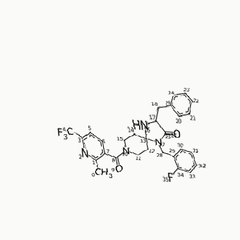 Cc1nc(C(F)(F)F)ccc1C(=O)N1CCC2(CC1)NC(Cc1ccccc1)C(=O)N2Cc1ccccc1F